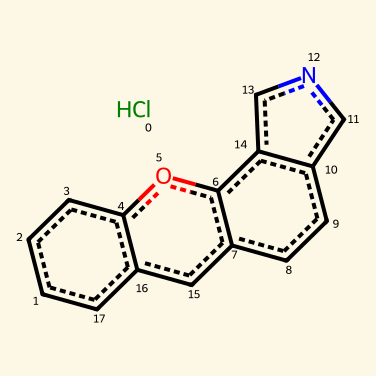 Cl.c1ccc2oc3c(ccc4cncc43)cc2c1